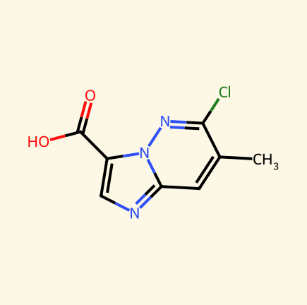 Cc1cc2ncc(C(=O)O)n2nc1Cl